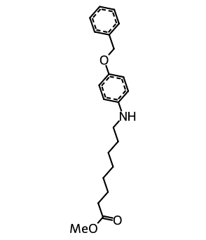 COC(=O)CCCCCCCNc1ccc(OCc2ccccc2)cc1